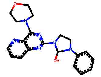 OC1N(c2ccccc2)CCN1c1nc(N2CCOCC2)c2ncccc2n1